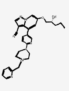 CCC[C@@H](O)COc1cc(-c2ccc(N3CCN(Cc4ccccn4)CC3)nc2)c2c(C#N)cnn2c1